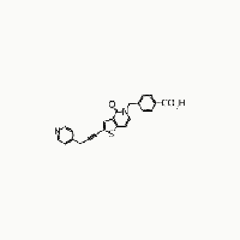 O=C(O)c1ccc(Cn2ccc3sc(C#CCc4ccncc4)cc3c2=O)cc1